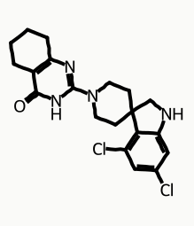 O=c1[nH]c(N2CCC3(CC2)CNc2cc(Cl)cc(Cl)c23)nc2c1CCCC2